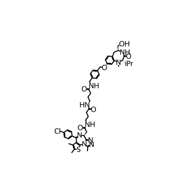 Cc1sc2c(c1C)C(c1ccc(Cl)cc1)=N[C@@H](CC(=O)NCCCC(=O)NCCCC(=O)NCc1ccc(COc3ccc4c(c3)N(C)[C@@H](C(C)C)C(=O)N[C@H](CO)C4)cc1)c1nnc(C)n1-2